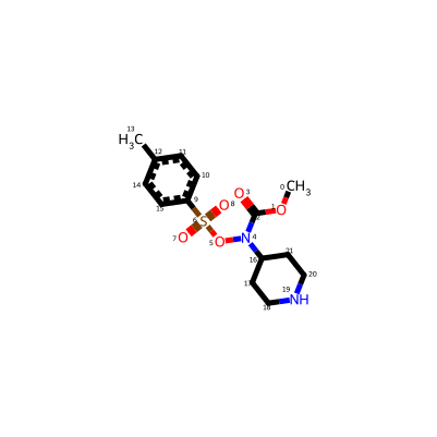 COC(=O)N(OS(=O)(=O)c1ccc(C)cc1)C1CCNCC1